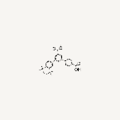 COC(OC)c1cc(-c2ccc(C(=O)O)cc2)cc(-c2ccc3c(c2)C(C)(C)CCC3(C)C)c1